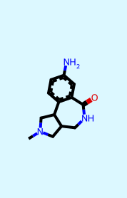 CN1CC2CNC(=O)c3cc(N)ccc3C2C1